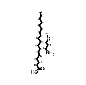 CCCCCCCCCCCCCCCCCC(=O)O.COCCCN